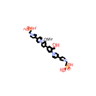 COc1cc(-c2ccc(-[n+]3ccc(-c4cc[n+](CCP(=O)(O)O)cc4)cc3)c(CO)c2)ccc1-[n+]1ccc(-c2cc[n+](CCP(=O)(O)O)cc2)cc1